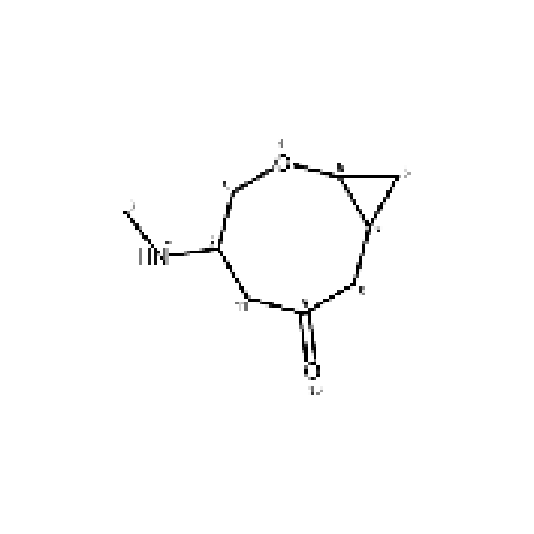 CNC1COC2CC2CC(=O)C1